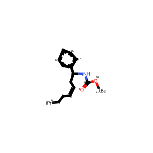 CC(C)CC/C=C\CC(NC(=O)OC(C)(C)C)c1ccccc1